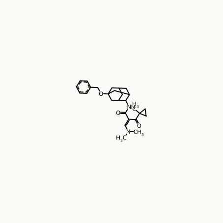 CN(C)C=C(C(=O)NC1C2CC3CC1CC(OCc1ccccc1)(C3)C2)C(=O)C1(C)CC1